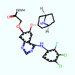 CNC(=O)COc1cc2ncnc(Nc3ccc(Cl)c(Cl)c3F)c2cc1O[C@@H]1C[C@H]2CC[C@@H](C1)N2